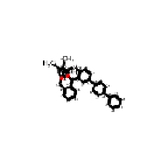 Cc1cc2c(cc1C)C13c4cc(-c5ccc(-c6ccccc6)cc5)ccc4Nc4cccc(c41)C2c1ccccc13